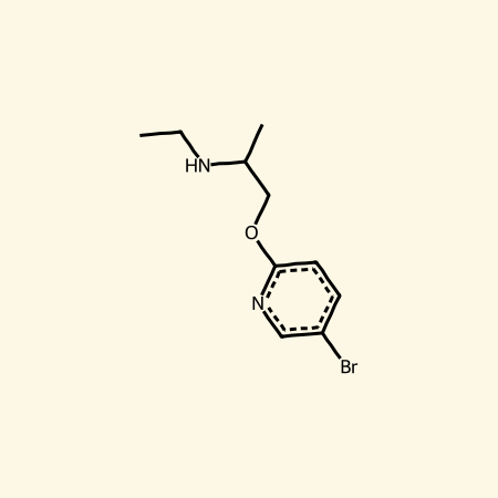 CCNC(C)COc1ccc(Br)cn1